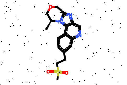 C[C@H]1COCc2nc3cnc4cc(CCS(C)(=O)=O)ccc4c3n21